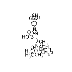 CC(CC1CC1(C(=O)O)c1cn(-c2ccc(S(C)(=O)=O)cc2)cn1)CN(C(=O)OC(C)(C)C)C(=O)OC(C)(C)C